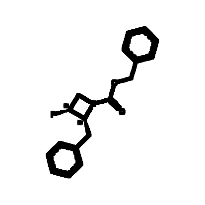 O=C(OCc1ccccc1)N1C[C@@H](F)[C@@H]1Cc1ccccc1